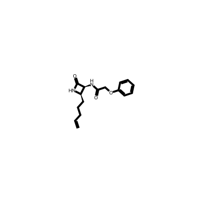 C=CCCC[C@H]1NC(=O)[C@H]1NC(=O)COc1ccccc1